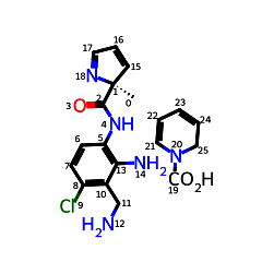 C[C@@]1(C(=O)Nc2ccc(Cl)c(CN)c2N)C=CC=N1.O=C(O)N1C=CC=CC1